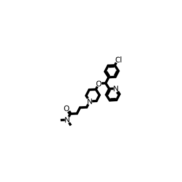 CN(C)C(=O)CCCN1CCC(OC(c2ccc(Cl)cc2)c2ccccn2)CC1